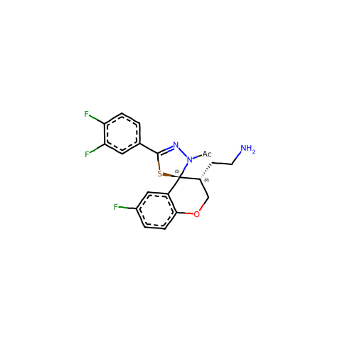 CC(=O)N1N=C(c2ccc(F)c(F)c2)S[C@@]12c1cc(F)ccc1OC[C@H]2CCN